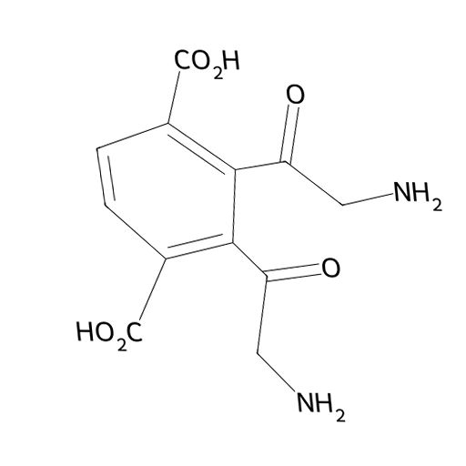 NCC(=O)c1c(C(=O)O)ccc(C(=O)O)c1C(=O)CN